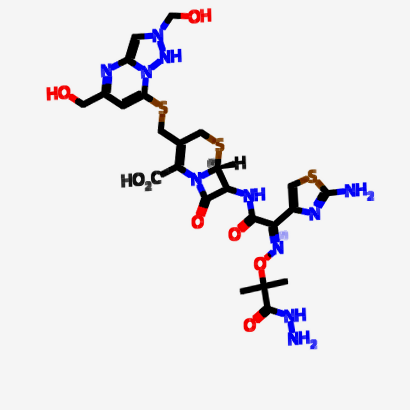 CC(C)(O/N=C(\C(=O)NC1C(=O)N2C(C(=O)O)=C(CSC3=CC(CO)=NC4=CN(CO)NN43)CS[C@H]12)c1csc(N)n1)C(=O)NN